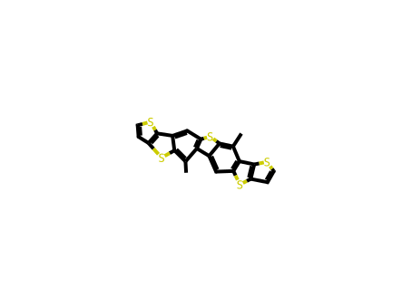 Cc1c2sc3ccsc3c2cc2sc3c(C)c4c(cc3c12)sc1ccsc14